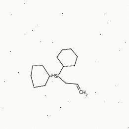 C=CC[SiH](C1CCCCC1)C1CCCCC1